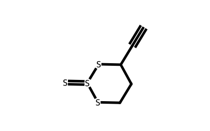 C#CC1CCSS(=S)S1